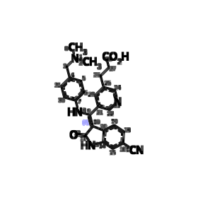 CN(C)Cc1ccc(N/C(=C2\C(=O)Nc3cc(C#N)ccc32)c2cncc(CCC(=O)O)c2)cc1